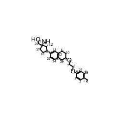 Cc1ccc(OCCOC2CCc3cc([C@H]4CC[C@](N)(CO)C4)ccc3C2)cc1